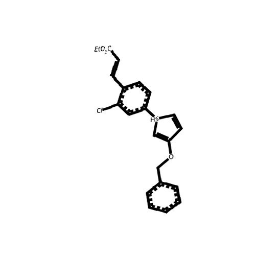 CCOC(=O)C=Cc1ccc([SH]2C=CC(OCc3ccccc3)=C2)cc1Cl